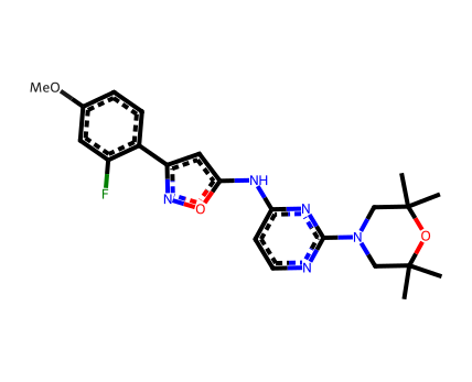 COc1ccc(-c2cc(Nc3ccnc(N4CC(C)(C)OC(C)(C)C4)n3)on2)c(F)c1